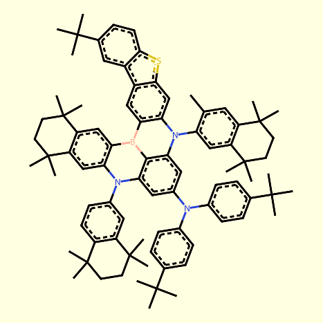 Cc1cc2c(cc1N1c3cc4sc5ccc(C(C)(C)C)cc5c4cc3B3c4cc5c(cc4N(c4ccc6c(c4)C(C)(C)CCC6(C)C)c4cc(N(c6ccc(C(C)(C)C)cc6)c6ccc(C(C)(C)C)cc6)cc1c43)C(C)(C)CCC5(C)C)C(C)(C)CCC2(C)C